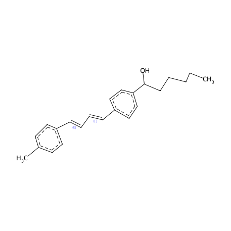 CCCCCC(O)c1ccc(/C=C/C=C/c2ccc(C)cc2)cc1